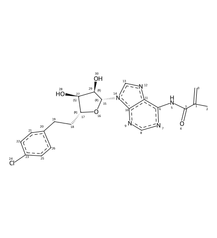 C=C(C)C(=O)Nc1ncnc2c1ncn2[C@@H]1O[C@H](CCc2ccc(Cl)cc2)[C@@H](O)[C@H]1O